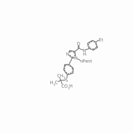 CCCCCn1c(C(=O)Nc2ccc(CC)cc2)cnc1-c1ccc(SC(C)(C)C(=O)O)cc1